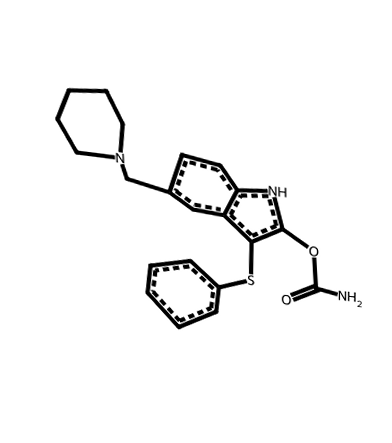 NC(=O)Oc1[nH]c2ccc(CN3CCCCC3)cc2c1Sc1ccccc1